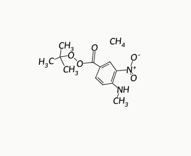 C.CNc1ccc(C(=O)OOC(C)(C)C)cc1[N+](=O)[O-]